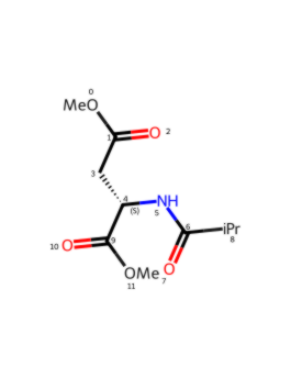 COC(=O)C[C@H](NC(=O)C(C)C)C(=O)OC